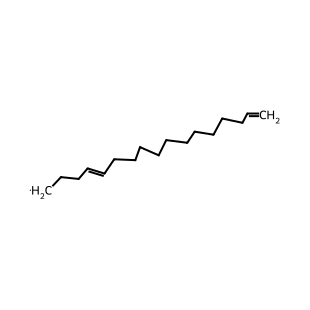 [CH2]CCC=CCCCCCCCCCCC=C